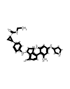 CCOC(=O)[C@H]1C[C@@H]1c1ccc(O[C@@H]2CCc3c(-c4c(C)cc(OC5CCOC5)cc4C)ccc(F)c32)cc1